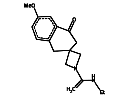 C=C(NCC)N1CC2(CC(=O)c3cc(OC)ccc3C2)C1